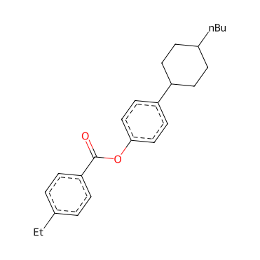 CCCCC1CCC(c2ccc(OC(=O)c3ccc(CC)cc3)cc2)CC1